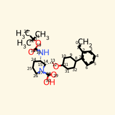 C=Cc1ccccc1C1CCC(OC[C@H]2[C@@H](NC(=O)OC(C)(C)C)CCCN2C(=O)O)CC1